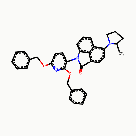 O=C1c2ccc(N3CCCC3C(F)(F)F)c3cccc(c23)N1c1ccc(OCc2ccccc2)nc1OCc1ccccc1